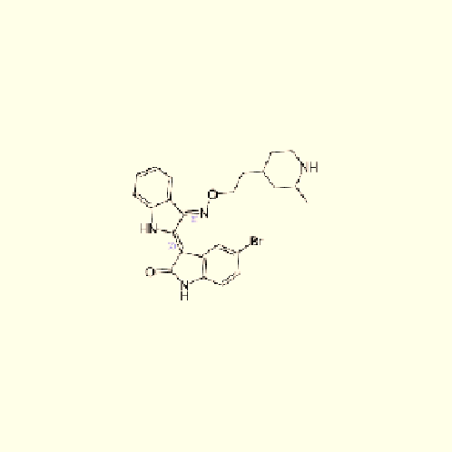 CC1CC(CCO/N=C2/C(=C3/C(=O)Nc4ccc(Br)cc43)Nc3ccccc32)CCN1